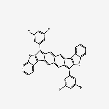 Fc1cc(F)cc(C2=c3cc4cc5c(cc4cc3-c3c2sc2ccccc32)=C(c2cc(F)cc(F)c2)c2sc3ccccc3c2-5)c1